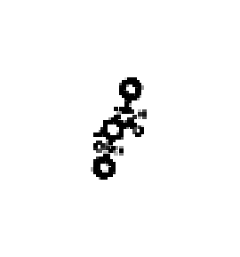 CC1Cc2nc(-c3ccccc3)[nH]c(=O)c2CC1S(=O)(=O)c1ccccc1